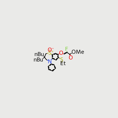 CCCCC1(CCCC)CN(c2ccccc2)c2cc(SCC)c(O/C=C(\F)C(=O)OC)cc2[S+]([O-])C1